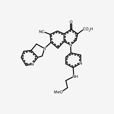 COCCNc1ccc(-n2cc(C(=O)O)c(=O)c3cc(C#N)c(N4Cc5cccnc5C4)cc32)cn1